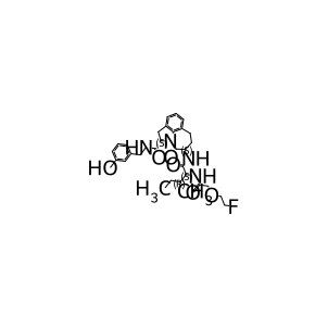 CC[C@@H](C)[C@H](NC(=O)COCCF)C(=O)N[C@H]1CCc2cccc3c2N(C1=O)[C@H](C(=O)NCc1cccc(O)c1)C3